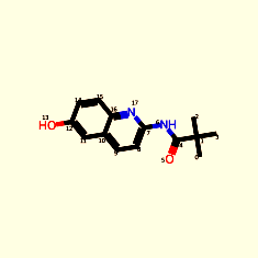 CC(C)(C)C(=O)Nc1ccc2cc(O)ccc2n1